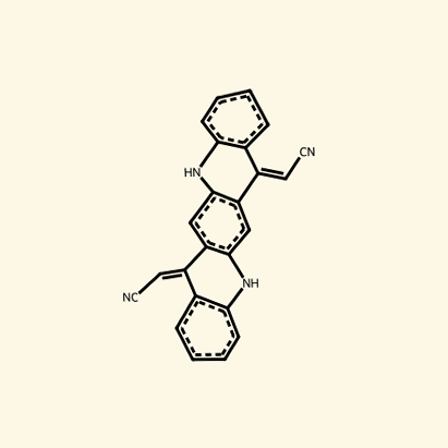 N#C/C=C1\c2ccccc2Nc2cc3c(cc21)Nc1ccccc1/C3=C\C#N